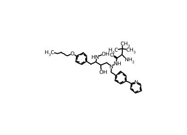 CCCCOc1ccc(CC(NO)C(O)CN(Cc2ccc(-c3ccccn3)cc2)NC(=O)C(N)C(C)(C)C)cc1